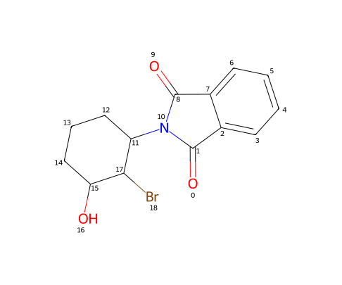 O=C1c2ccccc2C(=O)N1C1CCCC(O)C1Br